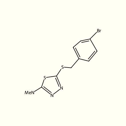 CNc1nnc(SCc2ccc(Br)cc2)s1